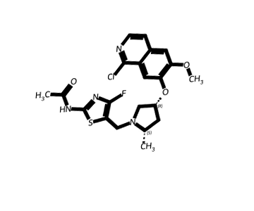 COc1cc2ccnc(Cl)c2cc1O[C@@H]1C[C@H](C)N(Cc2sc(NC(C)=O)nc2F)C1